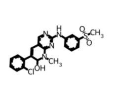 CN1c2nc(Nc3cccc(S(C)(=O)=O)c3)ncc2C=C(c2ccccc2Cl)C1O